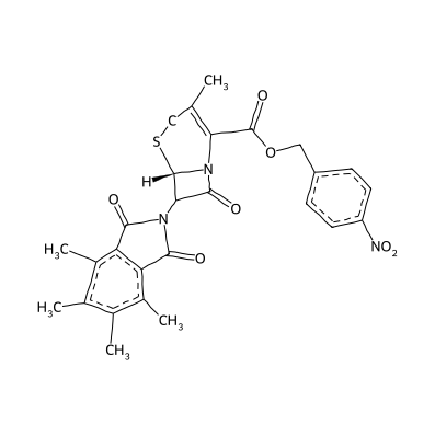 CC1=C(C(=O)OCc2ccc([N+](=O)[O-])cc2)N2C(=O)C(N3C(=O)c4c(C)c(C)c(C)c(C)c4C3=O)[C@@H]2SC1